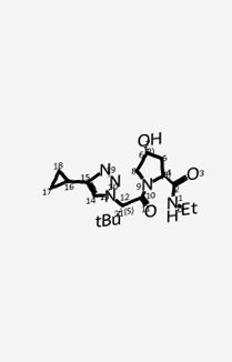 CCNC(=O)[C@@H]1C[C@@H](O)CN1C(=O)[C@@H](n1cc(C2CC2)nn1)C(C)(C)C